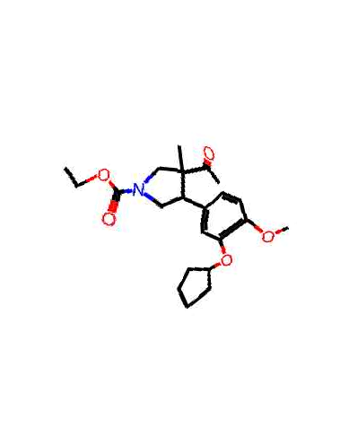 CCOC(=O)N1CC(c2ccc(OC)c(OC3CCCC3)c2)C(C)(C(C)=O)C1